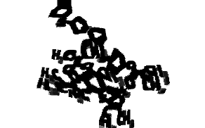 CC(C)C(=O)Oc1ccc(Sc2cc[c]cc2)cc1.Cc1ccc(C)c(Sc2c(C)c(C)c(OC(=O)C(C)C)c(OC(=O)C(C)C)c2C)c1C.[c]1ccc(Sc2cc[c]cc2)cc1